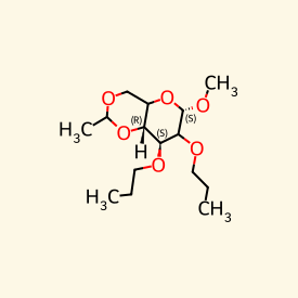 CCCOC1[C@@H](OC)OC2COC(C)O[C@H]2[C@@H]1OCCC